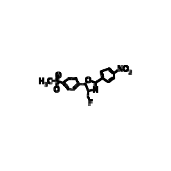 CS(=O)(=O)c1ccc(C2OC(c3ccc([N+](=O)[O-])cc3)=NC2CF)cc1